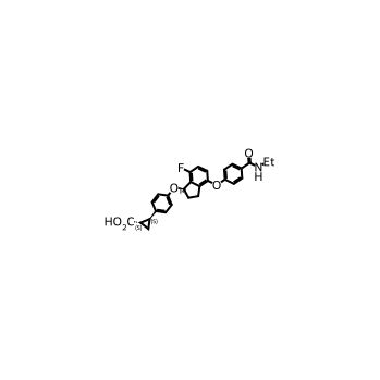 CCNC(=O)c1ccc(Oc2ccc(F)c3c2CC[C@H]3Oc2ccc([C@H]3C[C@@H]3C(=O)O)cc2)cc1